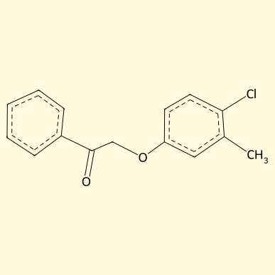 Cc1cc(OCC(=O)c2ccccc2)ccc1Cl